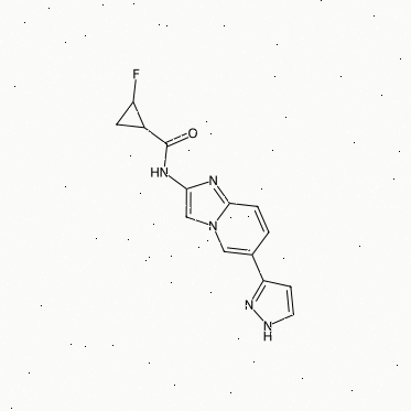 O=C(Nc1cn2cc(-c3cc[nH]n3)ccc2n1)C1CC1F